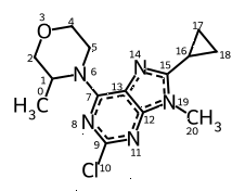 CC1COCCN1c1nc(Cl)nc2c1nc(C1CC1)n2C